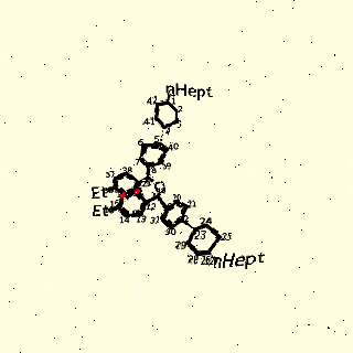 CCCCCCC[C@H]1CC[C@H](c2ccc(C(OC(c3ccc(CC)cc3)c3ccc([C@H]4CC[C@H](CCCCCCC)CC4)cc3)c3ccc(CC)cc3)cc2)CC1